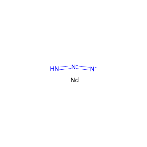 [N-]=[N+]=N.[Nd]